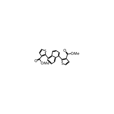 COC(=O)c1ccsc1-c1cccc2c(-c3sccc3C(=O)OC)cccc12